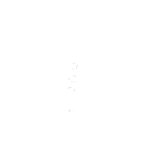 CCCCCc1ccc(-c2ccc(C3=CCC(C4CCC(O)CC4)C(F)=C3)c(F)c2)cc1